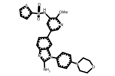 COc1ncc(-c2ccc3nc(N)n(-c4ccc(N5CCOCC5)cc4)c3c2)cc1NS(=O)(=O)c1cccs1